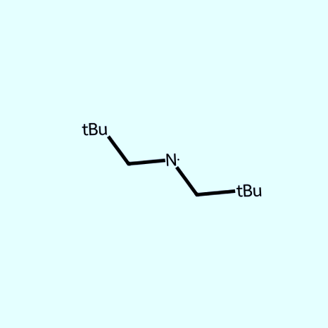 CC(C)(C)C[N]CC(C)(C)C